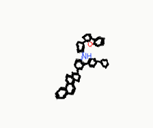 C1=CC(Nc2cccc(-c3cccc4c3oc3ccccc34)c2)C(c2ccc(-c3ccccc3)cc2)C=C1c1ccc2c(ccc3c4ccccc4ccc23)c1